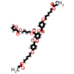 C=CC(=O)OCCCCCCOc1ccc(C(=O)Oc2ccc(OC(=O)c3ccc(OCCCCCCOC(=O)C=C)cc3)c(C(=O)OCCCCOC(=O)c3ccco3)c2)cc1